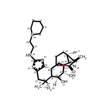 C=C1C(=O)[C@@]23C(CC[C@@H]1[C@H]2O)[C@@]12CO[C@@]3(O)[C@@H](O)C1C(C)(C)Cc1sc(NCCN3CCCCC3)nc12